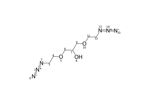 [N-]=[N+]=NCCOCC(O)COCCN=[N+]=[N-]